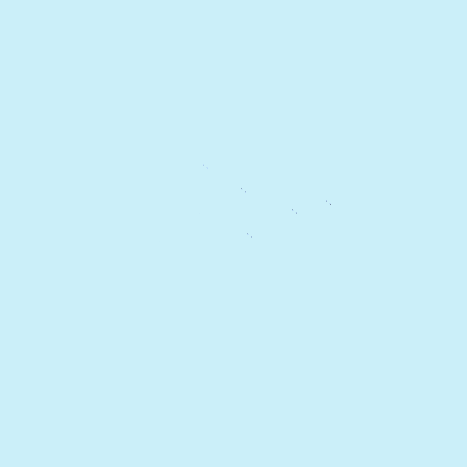 COc1cc(OC)c2c(c1)C1=NCCN1C(n1cnc3ccccc31)=N2